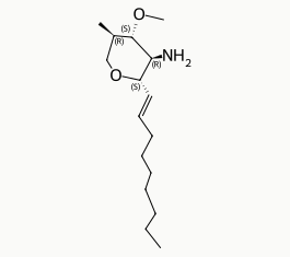 CCCCCCCC=C[C@@H]1OC[C@@H](C)[C@H](OC)[C@H]1N